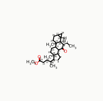 CC[C@H]1C(=O)C2C3CC[C@H]([C@H](C)CCC(=O)OC)[C@@]3(C)CCC2[C@@]2(C)CCC3C[C@@H]3[C@@H]12